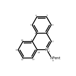 CCCCC[n+]1cc2ccccc2c2ccccc21